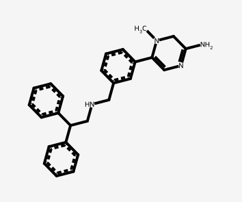 CN1CC(N)=NC=C1c1cccc(CNCC(c2ccccc2)c2ccccc2)c1